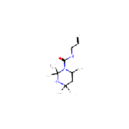 C=CCNC(=O)N1C(C)CC(C)(C)NC1(C)C